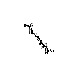 CC(C)C(=O)NCCOCCOCCNC(=O)CNC(C)(C)C